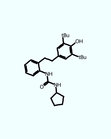 CC(C)(C)c1cc(CCc2ccccc2NC(=O)NC2CCCC2)cc(C(C)(C)C)c1O